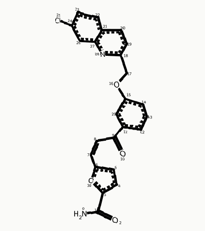 NC(=O)c1ccc(/C=C\C(=O)c2cccc(OCc3ccc4ccc(Cl)cc4n3)c2)o1